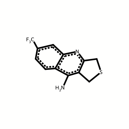 Nc1c2c(nc3cc(C(F)(F)F)ccc13)CSC2